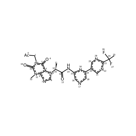 CC(=O)Cn1c(=O)c2c(ncn2[C@@H](C)C(=O)Nc2cncc(-c3cnc(C(C)(F)F)nc3)n2)n(C)c1=O